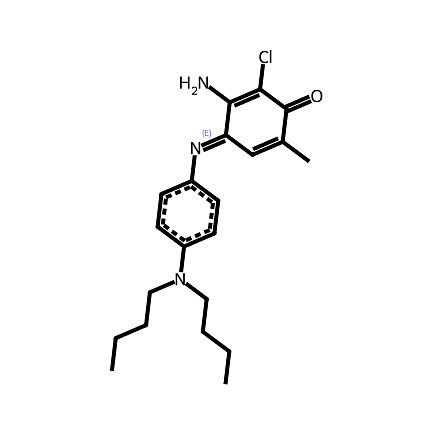 CCCCN(CCCC)c1ccc(/N=C2\C=C(C)C(=O)C(Cl)=C2N)cc1